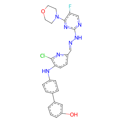 Oc1cccc(-c2ccc(Nc3ccc(/C=N/Nc4ncc(F)c(N5CCOCC5)n4)nc3Cl)cc2)c1